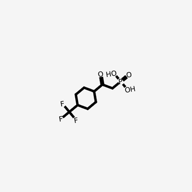 O=C(CP(=O)(O)O)C1CCC(C(F)(F)F)CC1